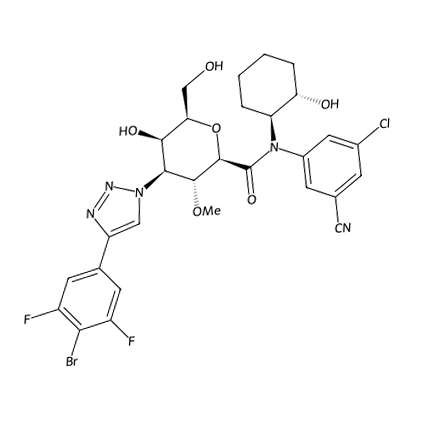 CO[C@@H]1[C@@H](n2cc(-c3cc(F)c(Br)c(F)c3)nn2)[C@@H](O)[C@@H](CO)O[C@H]1C(=O)N(c1cc(Cl)cc(C#N)c1)[C@H]1CCCC[C@@H]1O